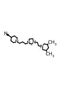 CC1CC(C)CN(CCN2[C]N(CCCN3CCC(C#N)CC3)CC2)C1